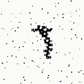 CCCc1cc(N2CCC(NCC(=O)NCCO)CC2)nc2sc(C(N)=O)c(N)c12